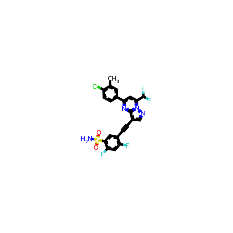 Cc1cc(-c2cc(C(F)F)n3ncc(C#Cc4cc(S(N)(=O)=O)c(F)cc4F)c3n2)ccc1Cl